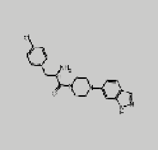 N[C@H](Cc1ccc(Cl)cc1)C(=O)N1CCN(c2ccc3cn[nH]c3c2)CC1